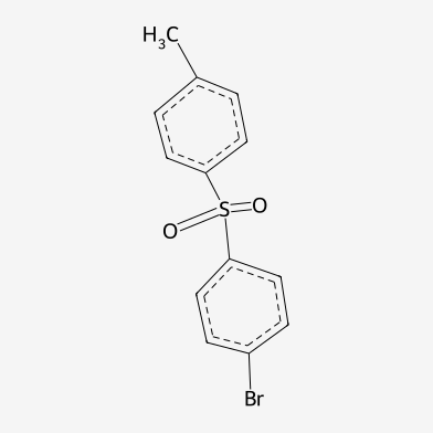 Cc1ccc(S(=O)(=O)c2ccc(Br)cc2)cc1